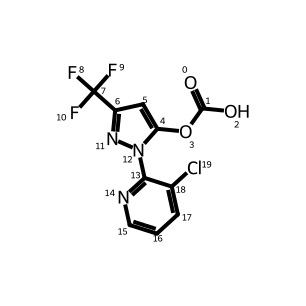 O=C(O)Oc1cc(C(F)(F)F)nn1-c1ncccc1Cl